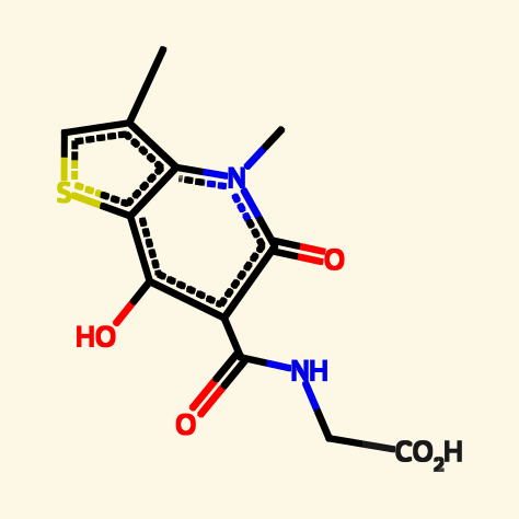 Cc1csc2c(O)c(C(=O)NCC(=O)O)c(=O)n(C)c12